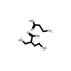 CCCC(=O)O.O=C(O)C(CO)CCO